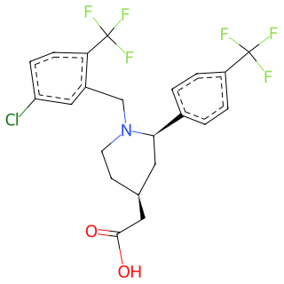 O=C(O)C[C@H]1CCN(Cc2cc(Cl)ccc2C(F)(F)F)[C@@H](c2ccc(C(F)(F)F)cc2)C1